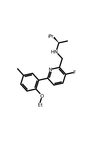 CCOc1ccc(C)cc1-c1ccc(F)c(CN[C@H](C)C(C)C)n1